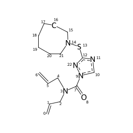 C=CCN(CC=C)C(=O)n1cnc(SN2CCCCCCC2)n1